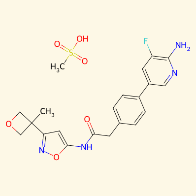 CC1(c2cc(NC(=O)Cc3ccc(-c4cnc(N)c(F)c4)cc3)on2)COC1.CS(=O)(=O)O